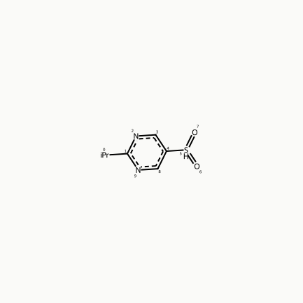 CC(C)c1ncc([SH](=O)=O)cn1